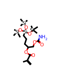 C=C(C)C(=O)OC(CCC[Si](O[Si](C)(C)C)(O[Si](C)(C)C)O[Si](C)(C)C)COC(N)=O